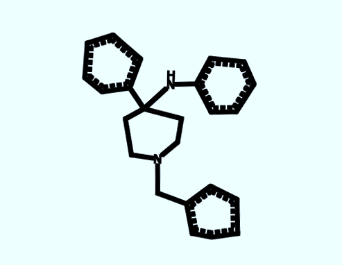 c1ccc(CN2CCC(Nc3ccccc3)(c3ccccc3)CC2)cc1